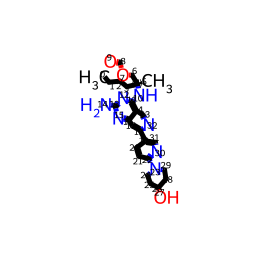 CCCC[C@](C)(COC=O)Nc1nc(N)nc2cc(-c3ccc(N4CCC(O)CC4)nc3)ncc12